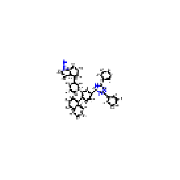 c1ccc(C2=NC(c3ccc(-c4c(-c5ccc(-c6cccc7[nH]ccc67)cc5)ccc5ccccc45)cc3)N3C(c4ccccc4)N23)cc1